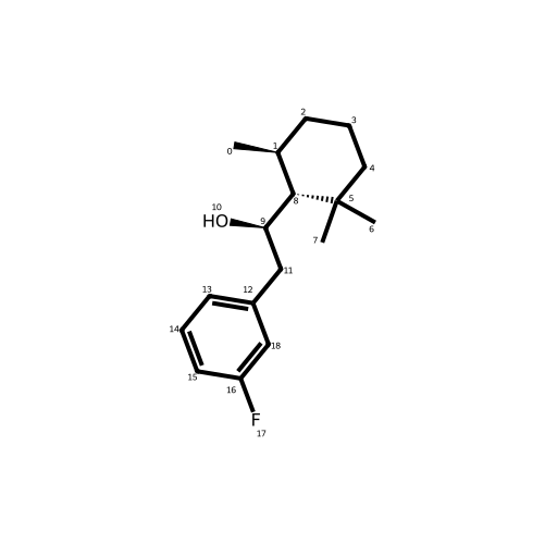 C[C@H]1CCCC(C)(C)[C@@H]1[C@H](O)Cc1cccc(F)c1